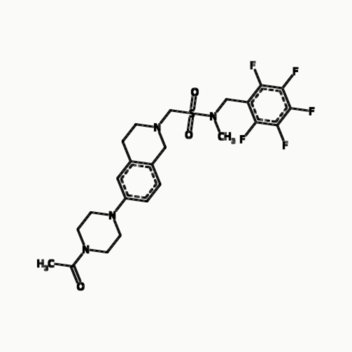 CC(=O)N1CCN(c2ccc3c(c2)CCN(CS(=O)(=O)N(C)Cc2c(F)c(F)c(F)c(F)c2F)C3)CC1